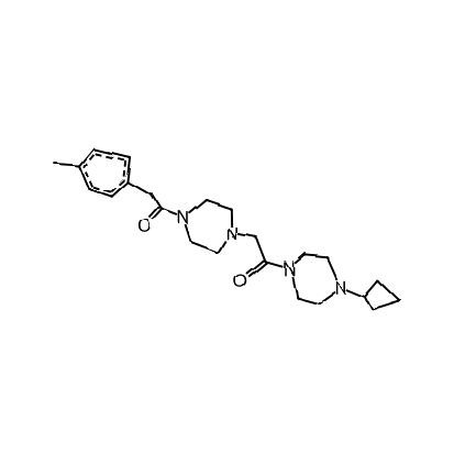 Cc1ccc(CC(=O)N2CCN(CC(=O)N3CCN(C4CCC4)CC3)CC2)cc1